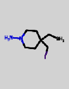 BCC1(CI)CCN(N)CC1